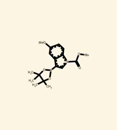 COc1ccc2c(c1)c(B1OC(C)(C)C(C)(C)O1)cn2C(=O)OC(C)(C)C